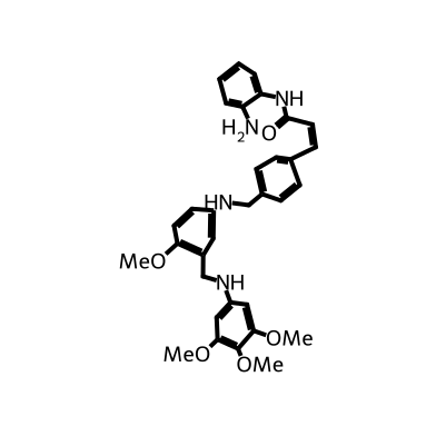 COc1ccc(NCc2ccc(/C=C\C(=O)Nc3ccccc3N)cc2)cc1CNc1cc(OC)c(OC)c(OC)c1